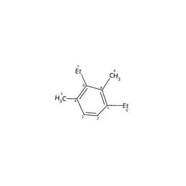 CCc1ccc(C)c(CC)c1C